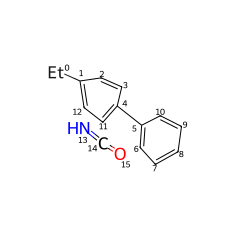 CCc1ccc(-c2ccccc2)cc1.N=C=O